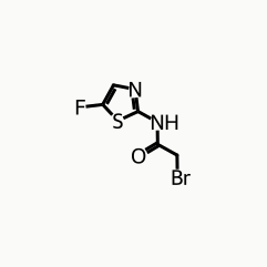 O=C(CBr)Nc1ncc(F)s1